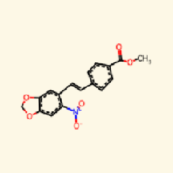 COC(=O)c1ccc(/C=C/c2cc3c(cc2[N+](=O)[O-])OCO3)cc1